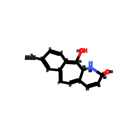 CSc1ccc2c(c1)=CC=C1C=CC(=O)NC1C=2O